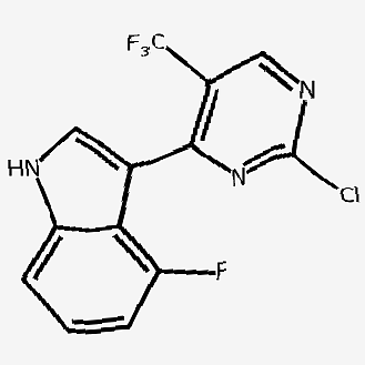 Fc1cccc2[nH]cc(-c3nc(Cl)ncc3C(F)(F)F)c12